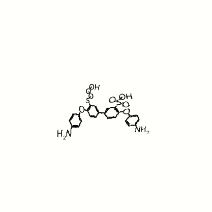 Nc1ccc(Oc2ccc(-c3ccc(Oc4ccc(N)cc4)c(S(=O)(=O)O)c3)cc2SOOO)cc1